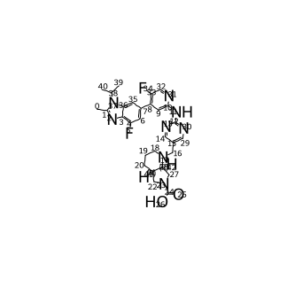 Cc1nc2c(F)cc(-c3cc(Nc4ncc(CN5CCC[C@@H]6CN(C(=O)O)C[C@@H]65)cn4)ncc3F)cc2n1C(C)C